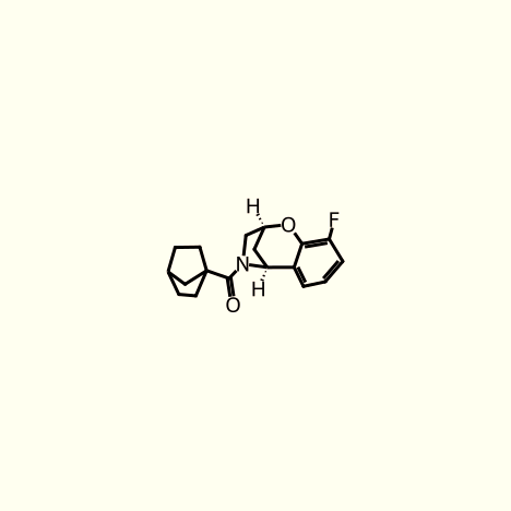 O=C(N1C[C@@H]2C[C@H]1c1cccc(F)c1O2)C12CCC(CC1)C2